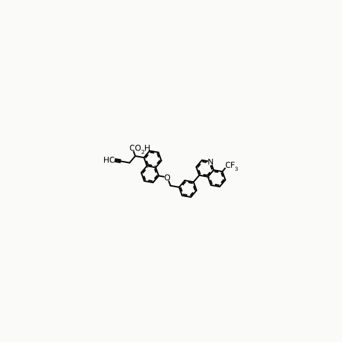 C#CCC(C(=O)O)c1cccc2c(OCc3cccc(-c4ccnc5c(C(F)(F)F)cccc45)c3)cccc12